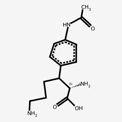 CC(=O)Nc1ccc(C(CCCN)[C@H](N)C(=O)O)cc1